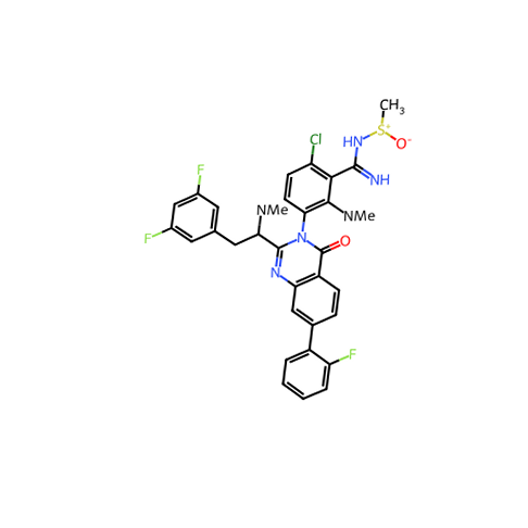 CNc1c(-n2c(C(Cc3cc(F)cc(F)c3)NC)nc3cc(-c4ccccc4F)ccc3c2=O)ccc(Cl)c1C(=N)N[S+](C)[O-]